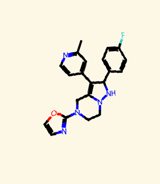 Cc1cc(C2=C3CN(c4ncco4)CCN3NC2c2ccc(F)cc2)ccn1